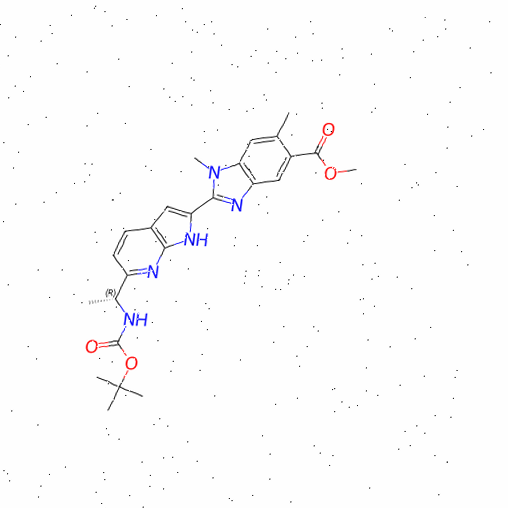 COC(=O)c1cc2nc(-c3cc4ccc([C@@H](C)NC(=O)OC(C)(C)C)nc4[nH]3)n(C)c2cc1C